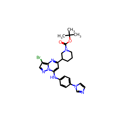 CC(C)(C)OC(=O)N1CCCC(c2cc(Nc3ccc(-n4ccnc4)cc3)n3ncc(Br)c3n2)C1